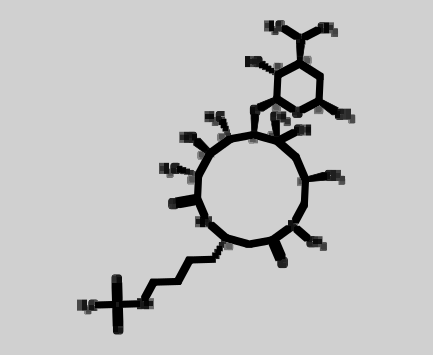 C[C@H]1CN(C)C(=O)C[C@H](CCCCNS(C)(=O)=O)NC(=O)[C@H](C)[C@@H](O)[C@H](C)[C@@H](O[C@@H]2O[C@H](C)C[C@H](N(C)C)[C@H]2O)[C@](C)(O)C1